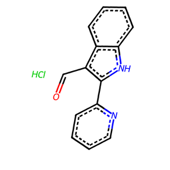 Cl.O=Cc1c(-c2ccccn2)[nH]c2ccccc12